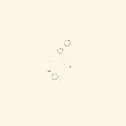 CCOc1nc(C(=O)NCC2CCN(Cc3sc(-c4ccccn4)nc3CN3CCN(C(=O)OC(C)(C)C)CC3)CC2)cc(N)c1N